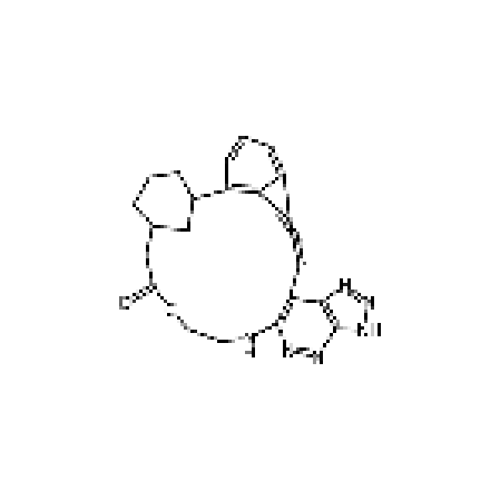 O=C1CCCNc2nnc3[nH]nnc3c2-c2ccc3c(cccc3c2)C2CCCC(C1)C2